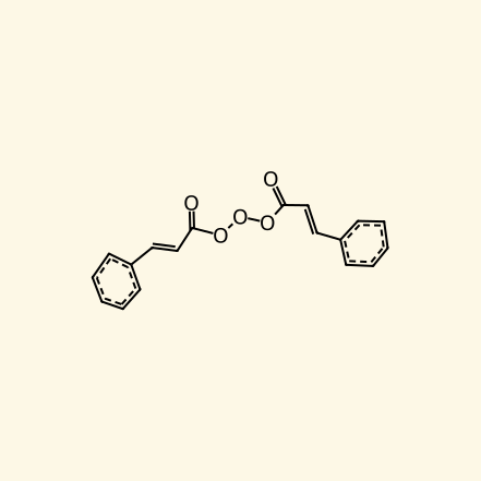 O=C(C=Cc1ccccc1)OOOC(=O)C=Cc1ccccc1